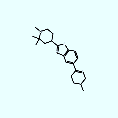 CC1CCC(c2ccc3sc(C4CCN(C)C(C)(C)C4)nc3c2)=NC1